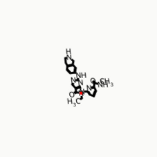 CCn1c(=O)c2cnc(Nc3ccc4c(c3)CNCC4)nc2n1-c1cccc(C(=O)NC)n1